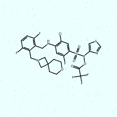 O=C(ON(c1cscn1)S(=O)(=O)c1cc(Cl)c(NCc2c(F)ccc(F)c2CN2CC3(CCOCC3)C2)cc1F)C(F)(F)F